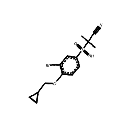 CC(C)(C#N)S(=N)(=O)c1ccc(OCC2CC2)c(Br)c1